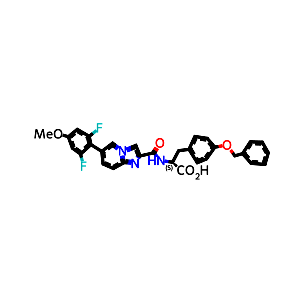 COc1cc(F)c(-c2ccc3nc(C(=O)N[C@@H](Cc4ccc(OCc5ccccc5)cc4)C(=O)O)cn3c2)c(F)c1